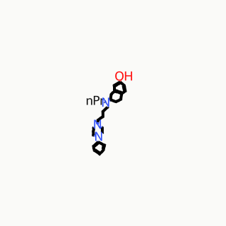 CCCN(CCCCN1CCN(c2ccccc2)CC1)C1CCc2ccc(O)cc2C1